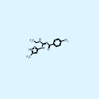 O=C(/N=C(/NCC(F)(F)F)Nc1cc(C(F)(F)F)[nH]n1)c1ccc(C(F)(F)F)cc1